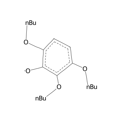 CCCCOc1ccc(OCCCC)c(OCCCC)c1[O]